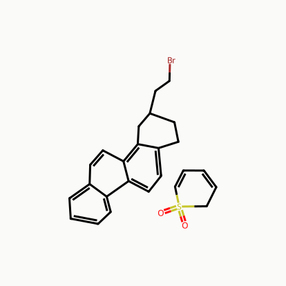 BrCCC1CCc2ccc3c(ccc4ccccc43)c2C1.O=S1(=O)C=CC=CC1